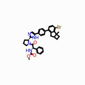 COC(=O)N[C@H](C(=O)N1CCC[C@H]1c1ncc(-c2ccc(-c3ccc(Br)c4c3CC3CCC43C)cc2)[nH]1)c1ccccc1